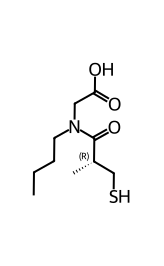 CCCCN(CC(=O)O)C(=O)[C@@H](C)CS